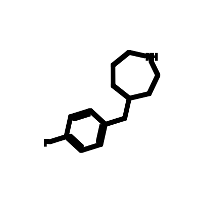 Fc1ccc(CC2CCCNCC2)cc1